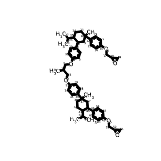 CC(COc1ccc(C2CC(C)(c3ccc(OCC4CO4)cc3)CCC2C(C)C)cc1)COc1ccc(C2(C)CCC(C(C)C)C(c3ccc(OCC4CO4)cc3)C2)cc1